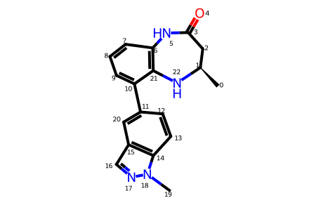 C[C@@H]1CC(=O)Nc2cccc(-c3ccc4c(cnn4C)c3)c2N1